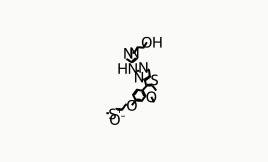 COc1cc(OCCC[S+](C)[O-])ccc1-c1c(C)sc2cnc(Nc3cnn(CCO)c3)nc12